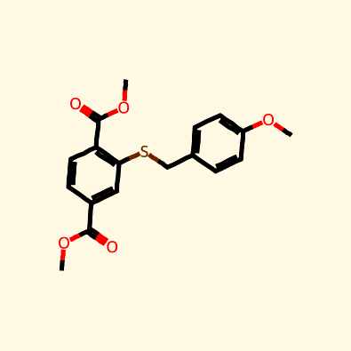 COC(=O)c1ccc(C(=O)OC)c(SCc2ccc(OC)cc2)c1